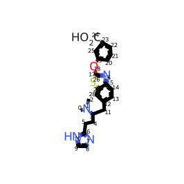 CN(C)C(CCc1ncc[nH]1)Cc1ccc2nc(Oc3cccc(C(=O)O)c3)sc2c1